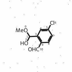 COC(O)c1cc(Cl)ccc1C=O